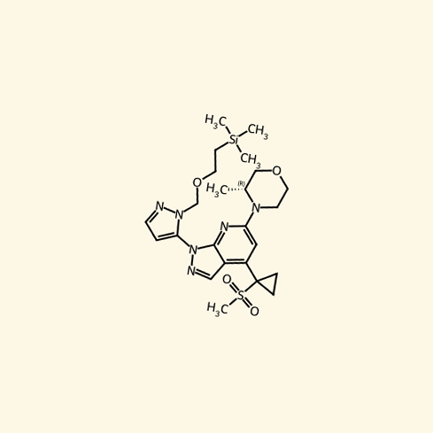 C[C@@H]1COCCN1c1cc(C2(S(C)(=O)=O)CC2)c2cnn(-c3ccnn3COCC[Si](C)(C)C)c2n1